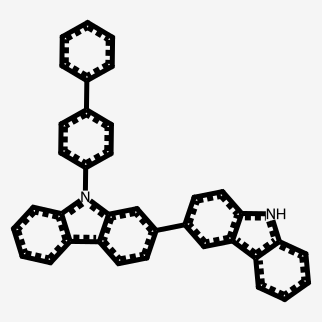 c1ccc(-c2ccc(-n3c4ccccc4c4ccc(-c5ccc6[nH]c7ccccc7c6c5)cc43)cc2)cc1